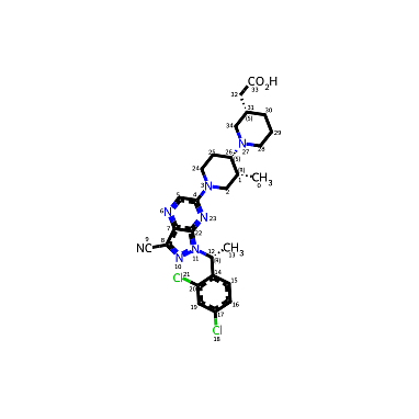 C[C@@H]1CN(c2cnc3c(C#N)nn([C@H](C)c4ccc(Cl)cc4Cl)c3n2)CC[C@@H]1N1CCC[C@@H](CC(=O)O)C1